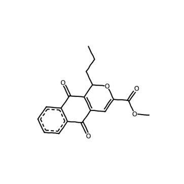 CCCC1OC(C(=O)OC)=CC2=C1C(=O)c1ccccc1C2=O